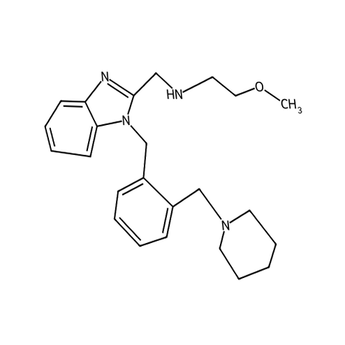 COCCNCc1nc2ccccc2n1Cc1ccccc1CN1CCCCC1